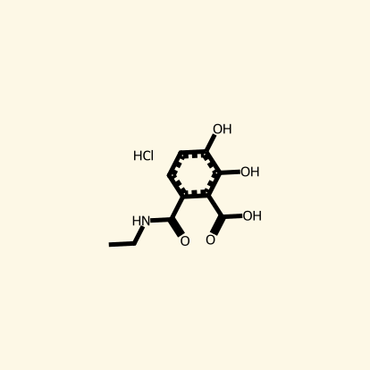 CCNC(=O)c1ccc(O)c(O)c1C(=O)O.Cl